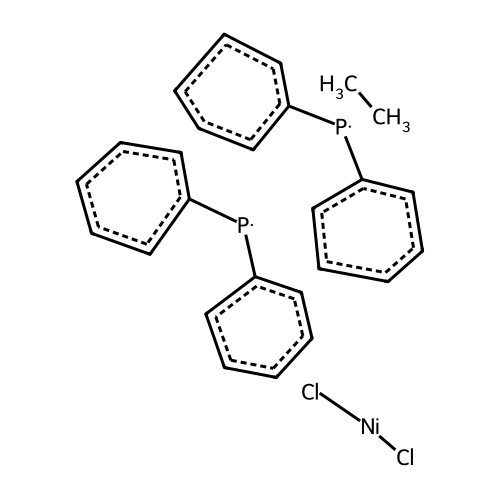 CC.[Cl][Ni][Cl].c1ccc([P]c2ccccc2)cc1.c1ccc([P]c2ccccc2)cc1